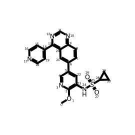 COc1ncc(-c2ccc3ncnc(-c4ccncc4)c3c2)cc1NS(=O)(=O)C1CC1